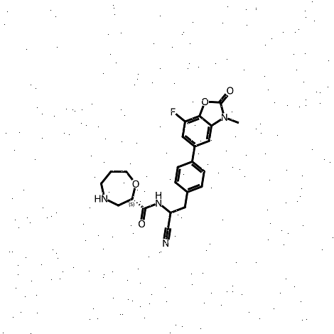 Cn1c(=O)oc2c(F)cc(-c3ccc(CC(C#N)NC(=O)[C@@H]4CNCCCO4)cc3)cc21